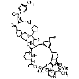 CCn1c(-c2cccnc2[C@H](C)OC)c2c3cc(ccc31)-c1cc(CF)cc(c1)C[C@H](NC(=O)[C@H](C1CCCC1)N1CC[C@]3(CCN(C(=O)[C@H]4[C@@H](C5CC5)N4[S@+]([O-])c4ccc(C)cc4)C3)C1)C(=O)N1CCC[C@H](N1)C(=O)OCC(C)(C)C2